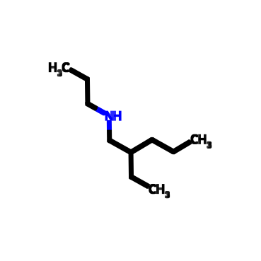 CCCNCC(CC)CCC